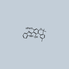 CCCCCc1cc2c(c(O)c1-c1nc3ccccc3[nH]1)-c1cc(C)ccc1C(C)(C)O2